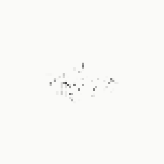 COC1=C(C(=O)OCc2ccccc2)CC(N(C(=O)NC(=O)Nc2c(F)cccc2F)C2CCCCC2)C(OC2C=CC=CC2)=C1